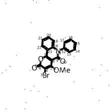 COc1c(Br)c(=O)oc2c1c(=O)n(-c1ccccc1)c1ccccc21